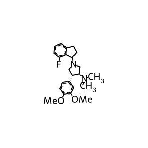 COc1ccc([C@@H]2CN(C3CCc4cccc(F)c43)C[C@H]2N(C)C)cc1OC